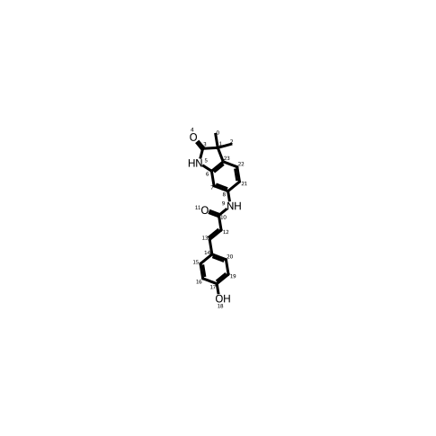 CC1(C)C(=O)Nc2cc(NC(=O)/C=C/c3ccc(O)cc3)ccc21